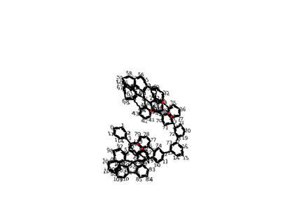 c1ccc(-c2ccc(N(c3ccc(-c4cccc(-c5cccc(-c6ccc(N(c7ccccc7-c7ccccc7)c7cccc8c7C7(c9ccccc9Sc9ccc%10ccccc%10c97)c7ccccc7-8)cc6)c5)c4)cc3-c3ccccc3)c3cccc4c3C3(c5ccccc5Sc5ccc6ccccc6c53)c3ccccc3-4)cc2)cc1